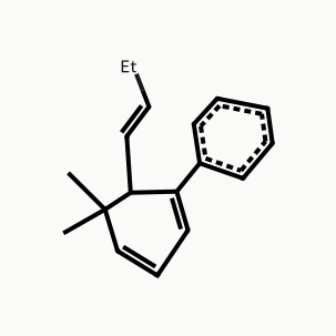 CCC=CC1C(c2ccccc2)=CC=CC1(C)C